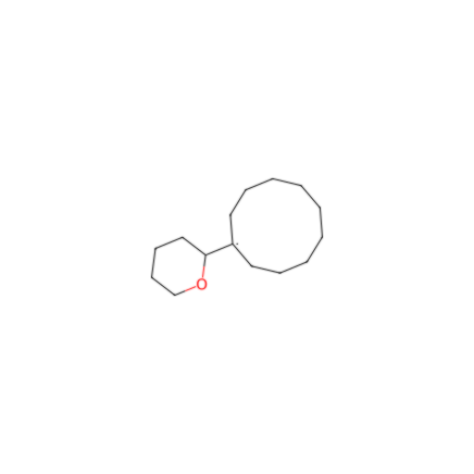 C1CCCC[C](C2CCCCO2)CCCC1